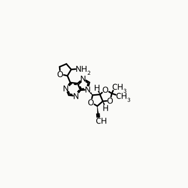 C#C[C@H]1O[C@@H](n2cnc3c(C4OCCC4N)ncnc32)[C@@H]2OC(C)(C)O[C@@H]21